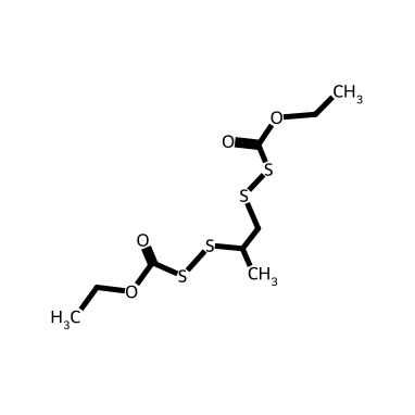 CCOC(=O)SSCC(C)SSC(=O)OCC